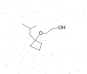 CC(C)CC1(OCCO)CCC1